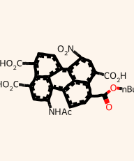 CCCCOC(=O)c1ccc2c3c(NC(C)=O)cc(C(=O)O)c4c(C(=O)O)ccc(c5c([N+](=O)[O-])cc(C(=O)O)c1c25)c43